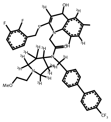 [2H]C1=C(SCc2cccc(F)c2F)N(CC(=O)N(C([2H])([2H])c2ccc(-c3ccc(C(F)(F)F)cc3)cc2)C2([2H])C([2H])([2H])C([2H])([2H])N(CCOC)C([2H])([2H])C2([2H])[2H])c2c([2H])c([2H])c(C)c([2H])c2C1O